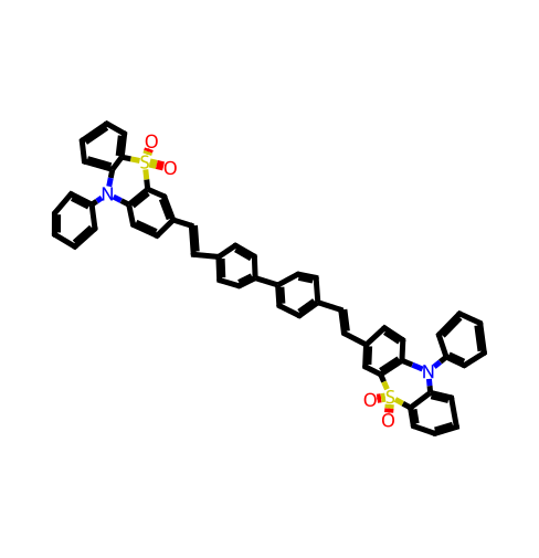 O=S1(=O)c2ccccc2N(c2ccccc2)c2ccc(/C=C/c3ccc(-c4ccc(/C=C/c5ccc6c(c5)S(=O)(=O)c5ccccc5N6c5ccccc5)cc4)cc3)cc21